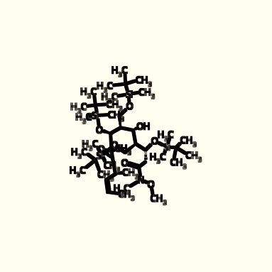 C/C=C\[C@H](C)[C@H]1OC1(C)[C@@H](O[Si](C)(C)C(C)(C)C)[C@@H](CO[Si](C)(C)C(C)(C)C)[C@H](O)[C@H](CO[Si](C)(C)C(C)(C)C)[C@@H](CC(=O)N(C)OC)O[Si](C)(C)C(C)(C)C